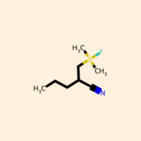 CCCC(C#N)CS(C)(C)F